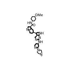 CO[C@H]1CC[C@H](NC(=O)c2cnn3ccc(-c4c[nH]c5nc(Nc6ccnc(N7CCN(C)CC7)c6)ncc45)cc23)CC1